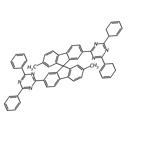 Cc1ccc2c(c1)C1(c3cc(C)ccc3-c3ccc(-c4nc(C5=CC=CCC5)nc(C5C=CC=CC5)n4)cc31)c1cc(-c3nc(-c4ccccc4)nc(-c4ccccc4)n3)ccc1-2